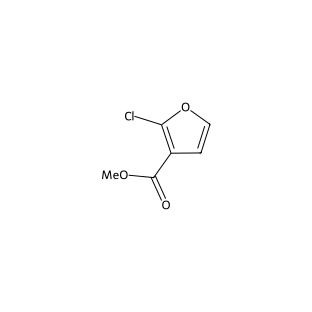 COC(=O)c1ccoc1Cl